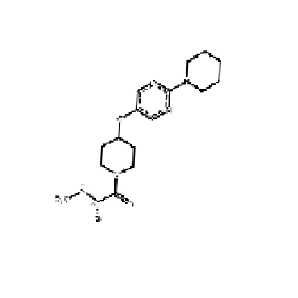 CC(C)[C@H](NC(=O)O)C(=O)N1CCC(Oc2cnc(N3CCCCC3)nc2)CC1